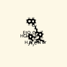 CCOC(=O)c1c(CCCOc2cccc3ccccc23)c2cccc(-c3c(CBr)nn(C)c3C)c2n1Cc1ccccc1CN.Cl